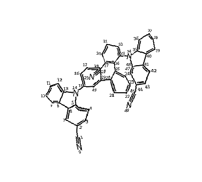 N#Cc1ccc2c(c1)c1ccccc1n2-c1cccc(-c2ccccc2-c2c(C#N)cccc2-n2c3ccccc3c3ccc(C#N)cc32)c1